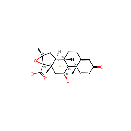 C[C@@]12C[C@H]3[C@@H]4CCC5=CC(=O)C=C[C@]5(C)[C@@]4(F)[C@@H](O)C[C@]3(C)[C@@]1(C(=O)O)O2